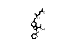 CC(=O)C=CC(=O)NCC1Cc2c(sc(NC3CCCCO3)c2C(=O)O)CO1